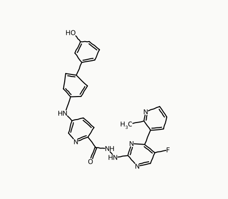 Cc1ncccc1-c1nc(NNC(=O)c2ccc(Nc3ccc(-c4cccc(O)c4)cc3)cn2)ncc1F